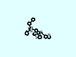 c1ccc(-c2cccc(-c3nc(-c4ccccc4)nc(-c4ccc5c(c4)C4(c6ccccc6Sc6ccccc64)c4cc(-c6ccc7cccnc7c6)ccc4-5)n3)c2)cc1